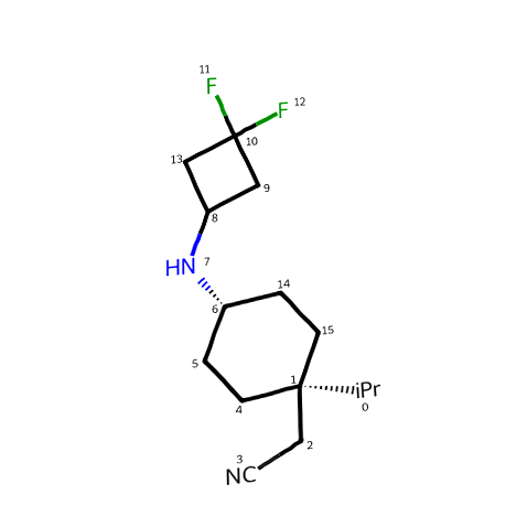 CC(C)[C@]1(CC#N)CC[C@H](NC2CC(F)(F)C2)CC1